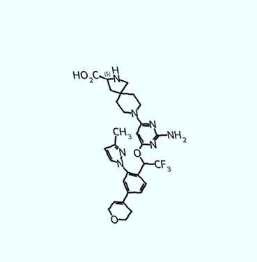 Cc1ccn(-c2cc(C3=CCOCC3)ccc2C(Oc2cc(N3CCC4(CC3)CN[C@H](C(=O)O)C4)nc(N)n2)C(F)(F)F)n1